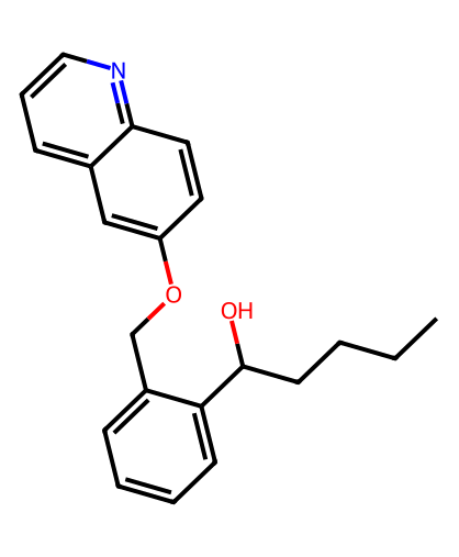 CCCCC(O)c1ccccc1COc1ccc2ncccc2c1